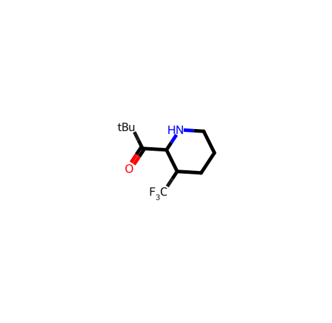 CC(C)(C)C(=O)C1NCCCC1C(F)(F)F